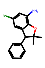 CC1(C)Oc2c(N)cc(Br)cc2C1c1ccccc1